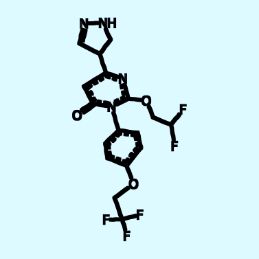 O=c1cc(C2C=NNC2)nc(OCC(F)F)n1-c1ccc(OCC(F)(F)F)cc1